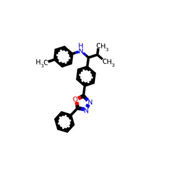 Cc1ccc(NC(c2ccc(-c3nnc(-c4ccccc4)o3)cc2)C(C)C)cc1